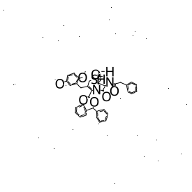 COc1ccc(OC)c(CC2=C(C(=O)OC(c3ccccc3)c3ccccc3)N3C(=O)C(NC(=O)Cc4ccccc4)[C@H]3[S+]([O-])C2)c1